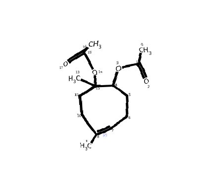 CC(=O)OC1CC/C=C(/C)CCC1(C)OC(C)=O